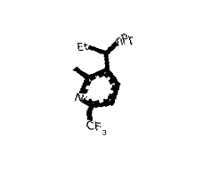 CCCC(CC)c1ccc(C(F)(F)F)nc1C